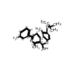 CCCC(Oc1ccc(OC(C)(C)C(=O)OCC)c(C)c1)c1ccc(-c2cccc(C(F)(F)F)c2)nc1C